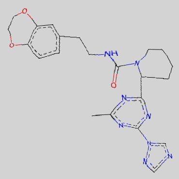 Cc1nc(C2CCCCN2C(=O)NCCc2ccc3c(c2)OCCO3)nc(-n2cncn2)n1